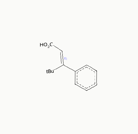 CC(C)(C)/C(=C\C(=O)O)c1ccccc1